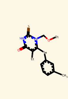 CCOCn1c([Se]c2cccc(C)c2)c(CC)c(=O)[nH]c1=S